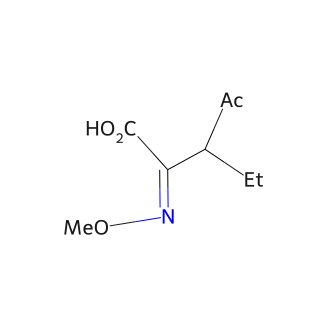 CCC(C(C)=O)C(=NOC)C(=O)O